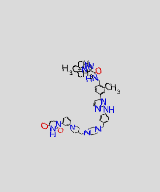 Cc1cc(-c2ccnc(Nc3ccc(CN4CCN(CC5CCN(c6cccc(N7CCC(=O)NC7=O)c6)CC5)CC4)cc3)n2)ccc1CNC(=O)c1cn(C(C)(C)C)nn1